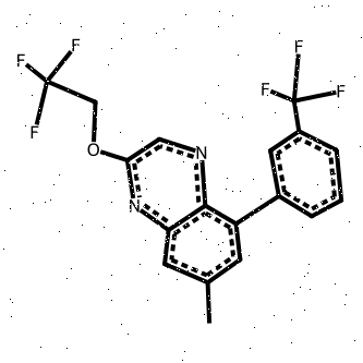 Cc1cc(-c2cccc(C(F)(F)F)c2)c2ncc(OCC(F)(F)F)nc2c1